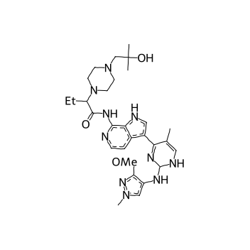 CCC(C(=O)Nc1nccc2c(C3=NC(Nc4cn(C)nc4OC)NC=C3C)c[nH]c12)N1CCN(CC(C)(C)O)CC1